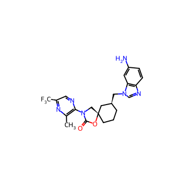 Cc1nc(C(F)(F)F)cnc1N1C[C@@]2(CCC[C@H](Cn3cnc4ccc(N)cc43)C2)OC1=O